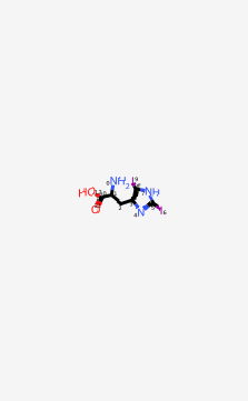 NC(Cc1nc(I)[nH]c1I)C(=O)O